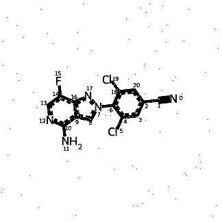 N#Cc1cc(Cl)c(-n2cc3c(N)ncc(F)c3n2)c(Cl)c1